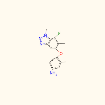 Cc1cc(N)ccc1Oc1cc2nnn(C)c2c(F)c1C